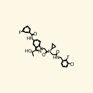 CC(O)c1nn(CC(=O)N(CC(=O)NCc2cccc(Cl)c2F)C2CC2)c2ccc(NC(=O)c3cccc(F)c3)cc12